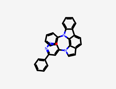 c1ccc(-c2cc(-n3ccc4ccc5c6ccccc6n(-c6ccccc6)c5c43)cnn2)cc1